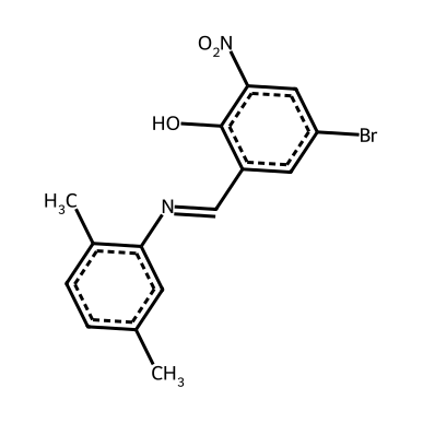 Cc1ccc(C)c(/N=C/c2cc(Br)cc([N+](=O)[O-])c2O)c1